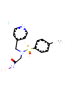 COc1ccc(S(=O)(=O)N(CC(=O)NO)Cc2ccncc2)cc1.Cl